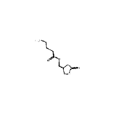 O=C(O)CCCC(=O)OCC1COC(=O)O1